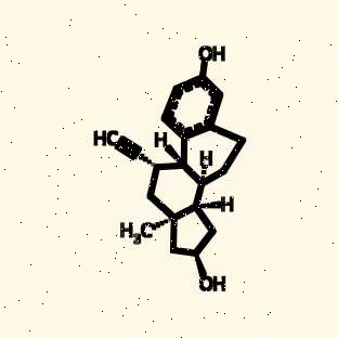 C#C[C@H]1C[C@]2(C)C[C@H](O)C[C@H]2[C@@H]2CCc3cc(O)ccc3[C@H]21